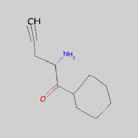 C#CC[C@H](N)C(=O)C1CCCCC1